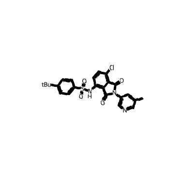 Cc1cncc(N2C(=O)c3c(Cl)ccc(NS(=O)(=O)c4ccc(C(C)(C)C)cc4)c3C2=O)c1